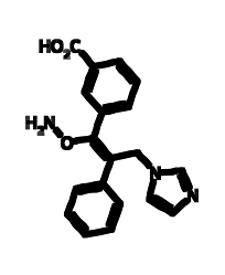 NO/C(=C(/Cn1ccnc1)c1ccccc1)c1cccc(C(=O)O)c1